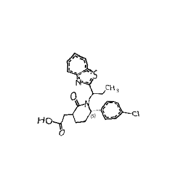 CCC(c1nc2ccccc2s1)N1C(=O)C(CC(=O)O)CC[C@H]1c1ccc(Cl)cc1